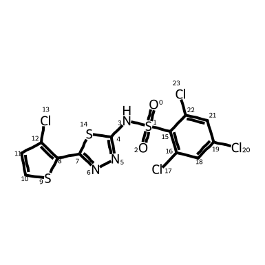 O=S(=O)(Nc1nnc(-c2sccc2Cl)s1)c1c(Cl)cc(Cl)cc1Cl